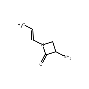 CC=CN1CC(N)C1=O